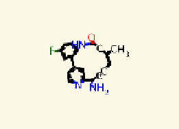 CC1CCC[C@H](N)c2cc(ccn2)-c2cc(F)ccc2NC(=O)C1